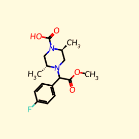 COC(=O)C(c1ccc(F)cc1)N1C[C@H](C)N(C(=O)O)C[C@H]1C